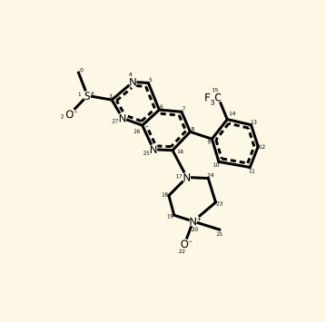 C[S+]([O-])c1ncc2cc(-c3ccccc3C(F)(F)F)c(N3CC[N+](C)([O-])CC3)nc2n1